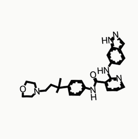 CC(C)(CCN1CCOCC1)c1ccc(NC(=O)c2cccnc2Nc2ccc3cn[nH]c3c2)cc1